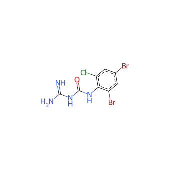 N=C(N)NC(=O)Nc1c(Cl)cc(Br)cc1Br